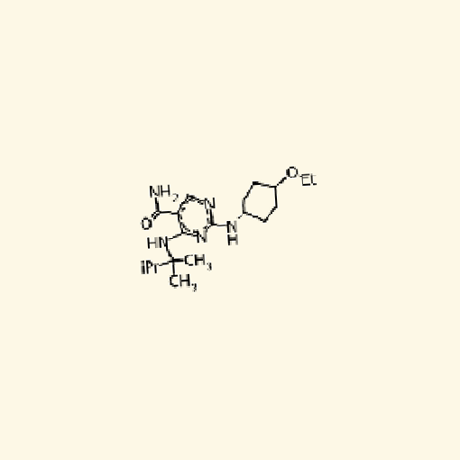 CCO[C@H]1CC[C@H](Nc2ncc(C(N)=O)c(NC(C)(C)C(C)C)n2)CC1